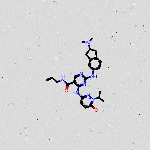 C=CCNC(=O)c1cnc(Nc2ccc3c(c2)CC(N(C)C)C3)nc1Nc1ccc(=O)n(C(C)C)n1